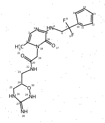 Cc1cnc(NCC(F)(F)c2ccccc2)c(=O)n1CC(=O)NCC1CNC(=N)NO1